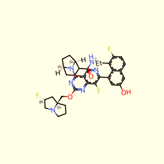 CCc1c(F)ccc2cc(O)cc(-c3ncc4c(N5[C@H]6CCC(C(N)=O)[C@@H]5CC6)nc(OC[C@@]56CCCN5C[C@H](F)C6)nc4c3F)c12